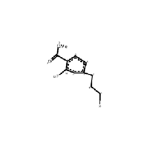 COC(=O)c1ccc(CCCI)cc1F